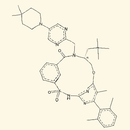 Cc1cccc(C)c1-c1nc2nc(c1C)OC[C@@H](CC(C)(C)C)N(Cc1ncc(N3CCC(C)(C)CC3)cn1)C(=O)c1cccc(c1)S(=O)(=O)N2